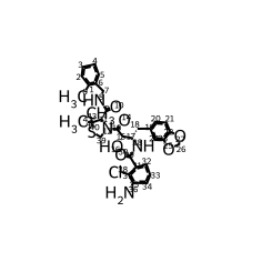 Cc1ccccc1CNC(=O)[C@H]1N(C(=O)[C@@H](O)[C@H](Cc2ccc3c(c2)OCO3)NC(=O)c2cccc(N)c2Cl)CSC1(C)C